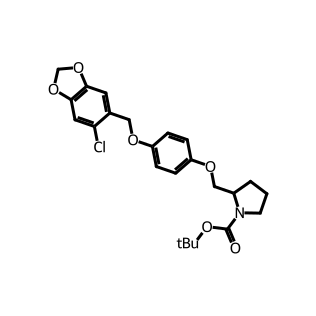 CC(C)(C)OC(=O)N1CCCC1COc1ccc(OCc2cc3c(cc2Cl)OCO3)cc1